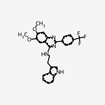 COc1cc2nc(-c3ccc(C(F)(F)F)cc3)nc(NCCc3c[nH]c4ccccc34)c2cc1OC